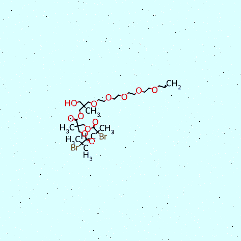 C=CCOCCOCCOCCOCCOCC(C)(CO)COC(=O)C(C)(COC(=O)C(C)(C)Br)COC(=O)C(C)(C)Br